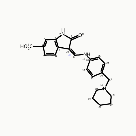 O=C1Nc2cc(C(=O)O)ccc2/C1=C/Nc1ccc(CN2CCCCC2)cc1